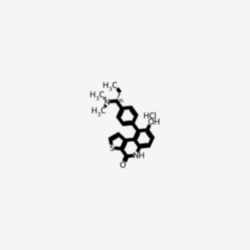 CC[C@H](c1ccc(-c2c(O)ccc3[nH]c(=O)c4sccc4c23)cc1)N(C)C.Cl